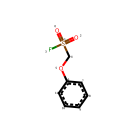 O=S(=O)(F)COc1ccccc1